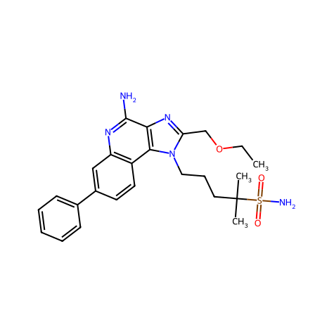 CCOCc1nc2c(N)nc3cc(-c4ccccc4)ccc3c2n1CCCC(C)(C)S(N)(=O)=O